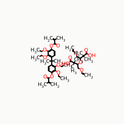 C=C(C)C(=O)Oc1ccc(C(C)(C)c2ccc(OC(=O)C(=C)C)c(OCC)c2OCC)c(OCC)c1OCC.C=COCC(OC(COC=C)C(C)(C)C(=O)O)C(C)(C)C(=O)O